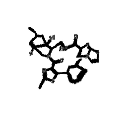 Cc1cccc(-c2sc(C)nc2C(=O)N2C[C@@H]3CC(C)C[C@@H]3[C@H]2CNC(=O)c2cn3ccsc3n2)c1